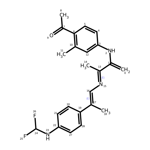 C=C(Nc1ccc(C(C)=O)c(C)c1)/C(C)=N/C=C(\C)c1ccc(NC(F)F)cc1